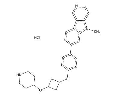 Cl.Cn1c2ccncc2c2ccc(-c3ccc(OC4CC(OC5CCNCC5)C4)nc3)cc21